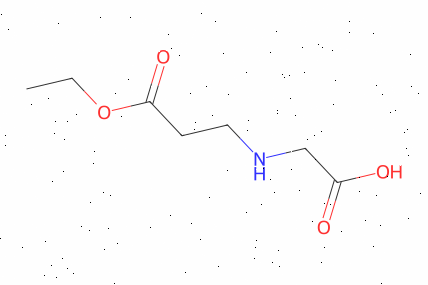 CCOC(=O)CCNCC(=O)O